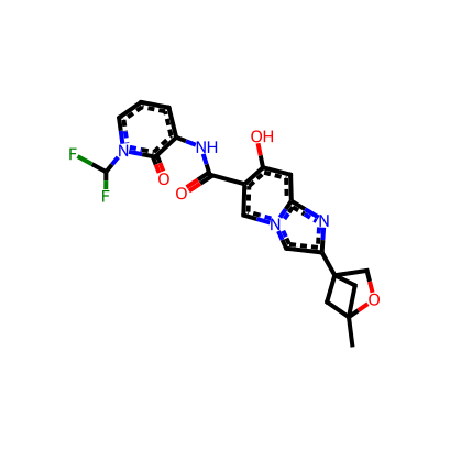 CC12CC(c3cn4cc(C(=O)Nc5cccn(C(F)F)c5=O)c(O)cc4n3)(CO1)C2